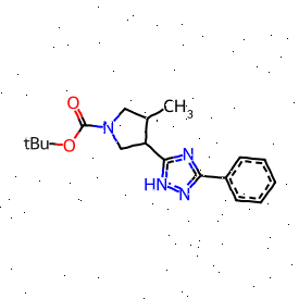 CC1CN(C(=O)OC(C)(C)C)CC1c1nc(-c2ccccc2)n[nH]1